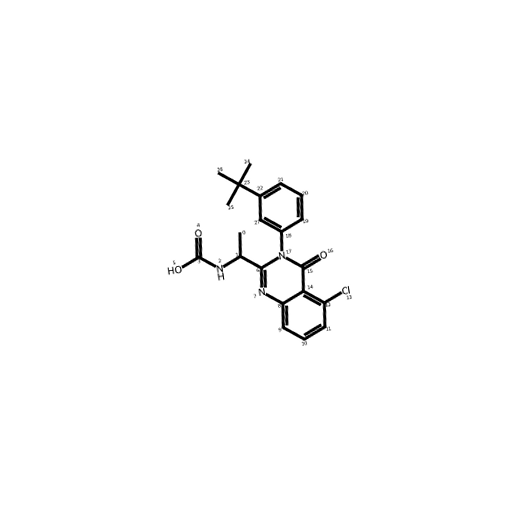 CC(NC(=O)O)c1nc2cccc(Cl)c2c(=O)n1-c1cccc(C(C)(C)C)c1